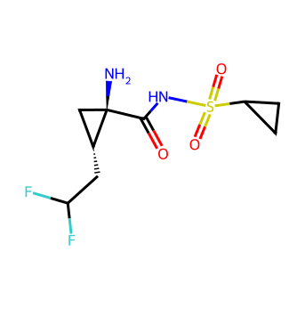 N[C@]1(C(=O)NS(=O)(=O)C2CC2)C[C@H]1CC(F)F